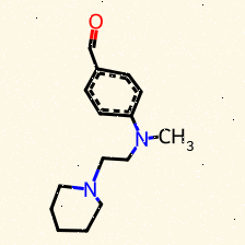 CN(CCN1CCCCC1)c1ccc(C=O)cc1